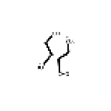 CCCCCCC=O.OCCO